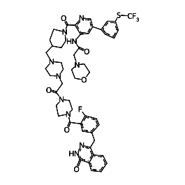 O=C(CN1CCOCC1)Nc1cc(-c2cccc(SC(F)(F)F)c2)cnc1C(=O)N1CCC(CN2CCN(CC(=O)N3CCN(C(=O)c4cc(Cc5n[nH]c(=O)c6ccccc56)ccc4F)CC3)CC2)CC1